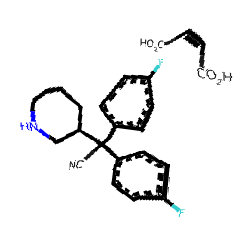 N#CC(c1ccc(F)cc1)(c1ccc(F)cc1)C1CCCNC1.O=C(O)/C=C\C(=O)O